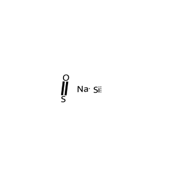 O=S.[Na].[Si]